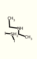 CCNCC.I[SiH2]I